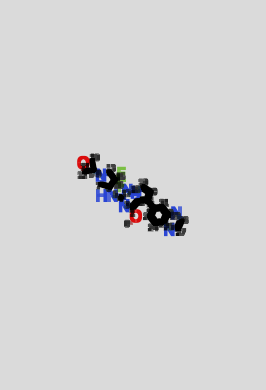 COc1nc(N[C@@H]2CN(C3COC3)CC2(F)F)nn2ccc(-c3ccc4nccnc4c3)c12